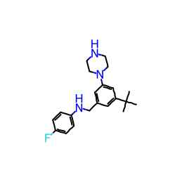 CC(C)(C)c1cc(CNc2ccc(F)cc2)cc(N2CCNCC2)c1